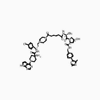 Cc1ncsc1-c1ccc(CNC(=O)[C@@H]2C[C@@H](O)CN2C(=O)[C@@H](NC(=O)CCCCC(=O)N2CCN(CC[C@H](NC(=O)C3(N)CCN(c4ncnc5[nH]ccc45)CC3)c3ccc(Cl)cc3)CC2)C(C)(C)C)cc1